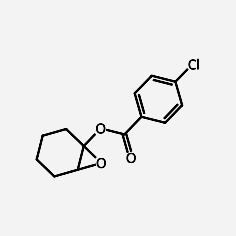 O=C(OC12CCCCC1O2)c1ccc(Cl)cc1